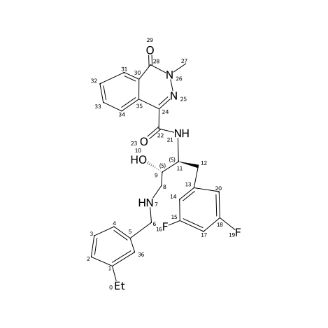 CCc1cccc(CNC[C@H](O)[C@H](Cc2cc(F)cc(F)c2)NC(=O)c2nn(C)c(=O)c3ccccc23)c1